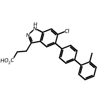 Cc1ccccc1-c1ccc(-c2cc3c(CCC(=O)O)n[nH]c3cc2Cl)cc1